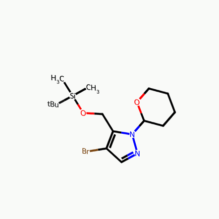 CC(C)(C)[Si](C)(C)OCc1c(Br)cnn1C1CCCCO1